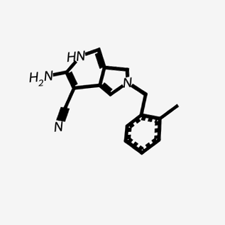 Cc1ccccc1CN1C=C2C(=CNC(N)=C2C#N)C1